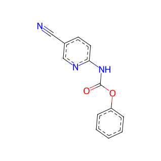 N#Cc1ccc(NC(=O)Oc2ccccc2)nc1